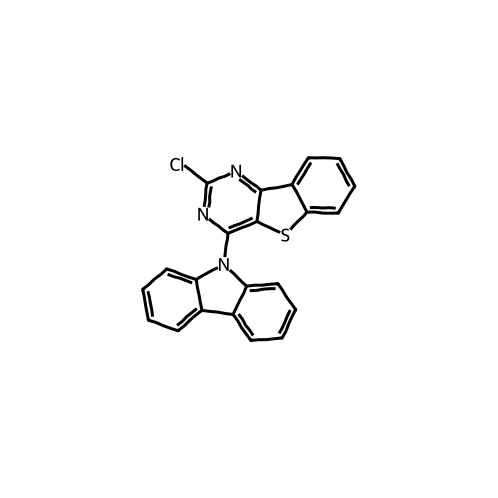 Clc1nc(-n2c3ccccc3c3ccccc32)c2sc3ccccc3c2n1